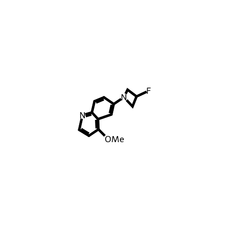 COc1ccnc2ccc(N3CC(F)C3)cc12